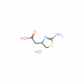 Cl.NC1=NC(CC(=O)O)CS1